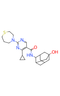 O=C(NC1C2CC3CC1CC(O)(C3)C2)c1cnc(N2CCCSCC2)nc1C1CC1